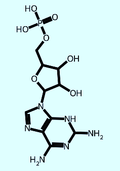 NC1=NC(N)Nc2c1ncn2C1OC(COP(=O)(O)O)C(O)C1O